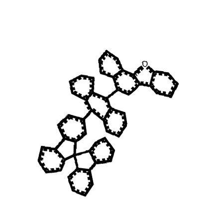 c1ccc2c(c1)-c1ccccc1C21c2ccccc2-c2ccc(-c3c4ccccc4c(-c4cc5c6ccccc6oc5c5ccccc45)c4ccccc34)cc21